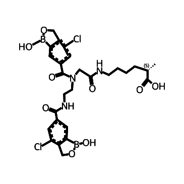 C[C@@H](CCCCNC(=O)CN(CCNC(=O)c1cc(Cl)c2c(c1)B(O)OC2)C(=O)c1cc(Cl)c2c(c1)B(O)OC2)C(=O)O